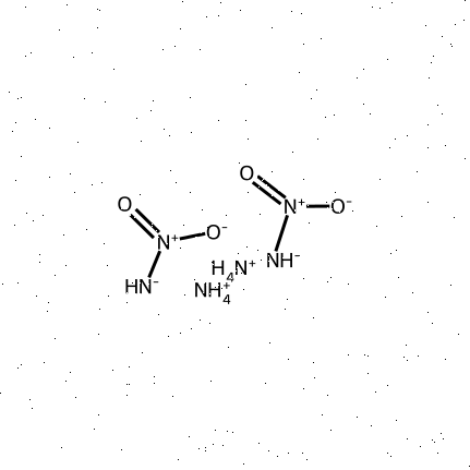 [NH-][N+](=O)[O-].[NH-][N+](=O)[O-].[NH4+].[NH4+]